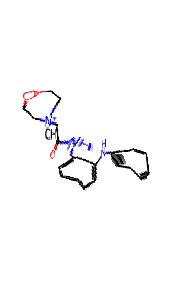 C[N+]1(CC(=O)Nc2ccccc2Nc2ccccc2)CCOCC1